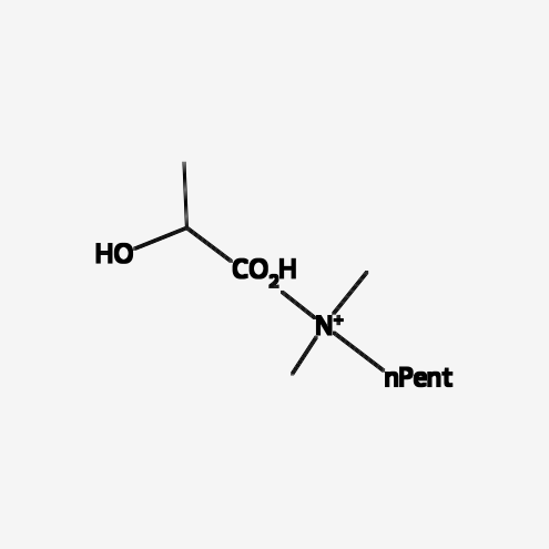 CC(O)C(=O)O.CCCCC[N+](C)(C)C